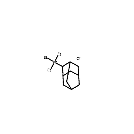 CC[N+](CC)(CC)C1C2CC3CC(C2)CC1C3.[Cl-]